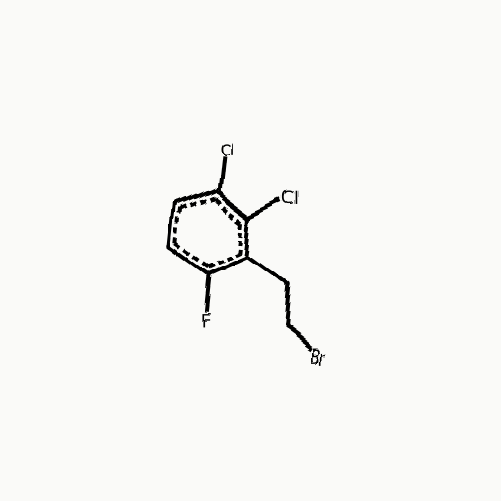 Fc1ccc(Cl)c(Cl)c1CCBr